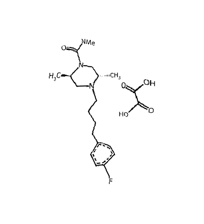 CNC(=O)N1C[C@H](C)N(CCCCc2ccc(F)cc2)C[C@H]1C.O=C(O)C(=O)O